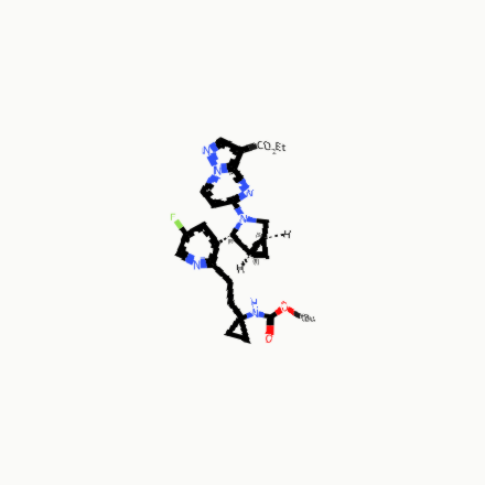 CCOC(=O)c1cnn2ccc(N3C[C@H]4C[C@H]4[C@@H]3c3cc(F)cnc3CCC3(NC(=O)OC(C)(C)C)CC3)nc12